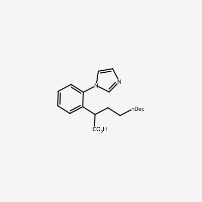 CCCCCCCCCCCCC(C(=O)O)c1ccccc1-n1ccnc1